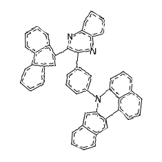 c1cc(-c2nc3ccccc3nc2-c2cc3ccccc3c3ccccc23)cc(N2c3cc4ccccc4cc3-c3cccc4cccc2c34)c1